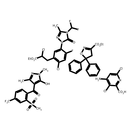 CCOC(=O)C(Cl)Cc1cc(-n2nc(C)n(C(F)F)c2=O)c(F)cc1Cl.CCOC(=O)C1=NOC(c2ccccc2)(c2ccccc2)C1.Cc1nn(C)c(O)c1C(=O)c1ccc(C(F)(F)F)cc1S(C)(=O)=O.Nc1cc(Cl)nc(C(=O)O)c1Cl